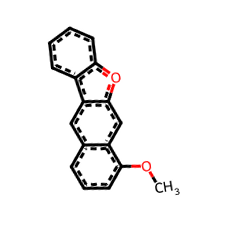 COc1cccc2cc3c(cc12)oc1ccccc13